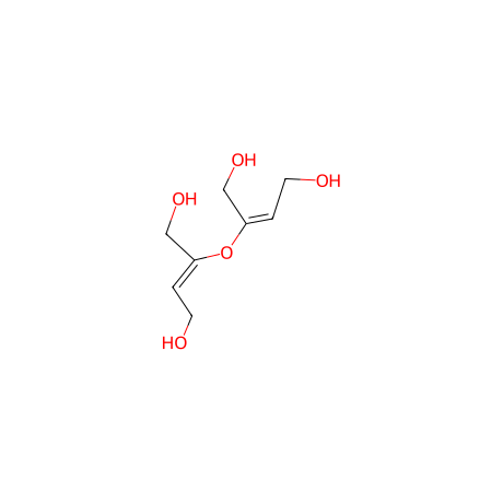 OCC=C(CO)OC(=CCO)CO